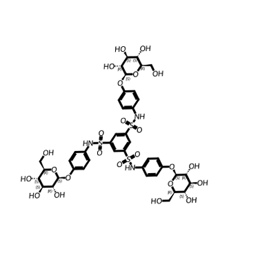 O=S(=O)(Nc1ccc(O[C@@H]2O[C@H](CO)[C@@H](O)[C@H](O)[C@H]2O)cc1)c1cc(S(=O)(=O)Nc2ccc(O[C@@H]3O[C@H](CO)[C@@H](O)[C@H](O)[C@H]3O)cc2)cc(S(=O)(=O)Nc2ccc(O[C@@H]3O[C@H](CO)[C@@H](O)[C@H](O)[C@H]3O)cc2)c1